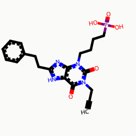 C#CCn1c(=O)c2[nH]c(CCc3ccccc3)nc2n(CCCCP(=O)(O)O)c1=O